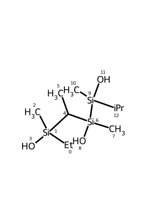 CC[Si](C)(O)C(C)[Si](C)(O)[Si](C)(O)C(C)C